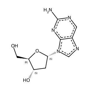 Nc1ncc2ncn([C@@H]3C[C@H](O)[C@@H](CO)O3)c2n1